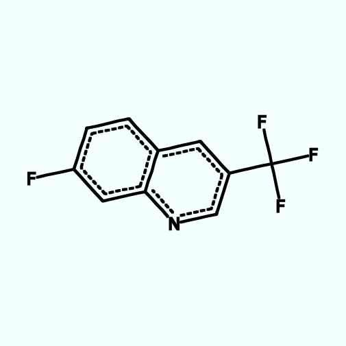 Fc1ccc2cc(C(F)(F)F)cnc2c1